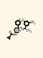 C[C@@H](OC[C@@]1(c2ccccc2)CC[C@H](NC(=O)C2CC2)CN1)c1cc(C(F)(F)F)cc(C(F)(F)F)c1